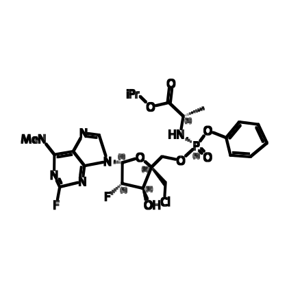 CNc1nc(F)nc2c1ncn2[C@@H]1O[C@](CCl)(CO[P@@](=O)(N[C@@H](C)C(=O)OC(C)C)Oc2ccccc2)[C@@H](O)[C@@H]1F